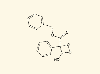 O=C(OCc1ccccc1)C1(c2ccccc2)OOC1O